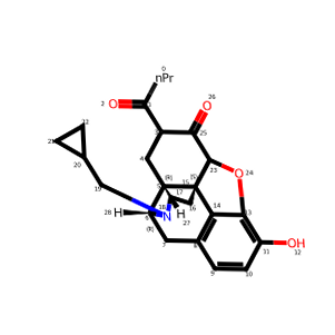 CCCC(=O)C1C[C@H]2[C@H]3Cc4ccc(O)c5c4[C@@]2(CCN3CC2CC2)C(O5)C1=O